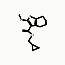 C=C(NCC1CC1)c1c(NC)sc2c1CCCC2